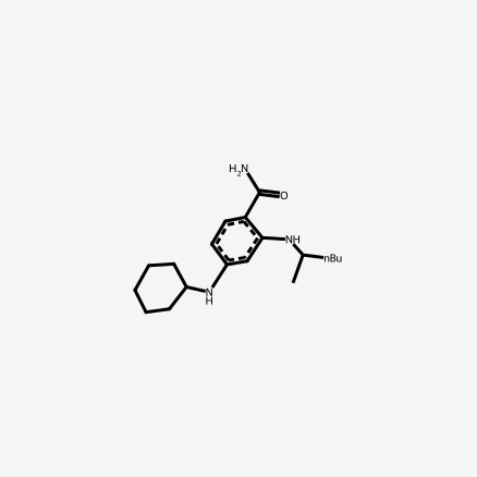 CCCCC(C)Nc1cc(NC2CCCCC2)ccc1C(N)=O